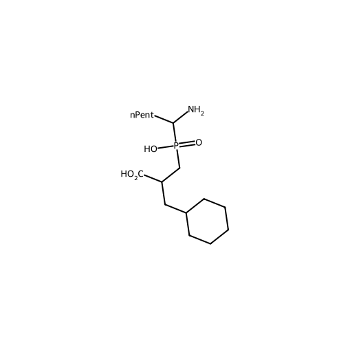 CCCCCC(N)P(=O)(O)CC(CC1CCCCC1)C(=O)O